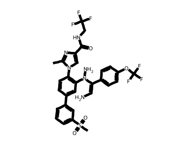 Cc1nc(C(=O)NCC(F)(F)F)cn1-c1ccc(-c2cccc(S(C)(=O)=O)c2)cc1N(N)/C(=C\N)c1ccc(OC(F)(F)F)cc1